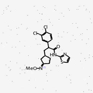 CO/N=C1/CCC(CC(C(=O)Nc2nccs2)c2ccc(Cl)c(Cl)c2)C1